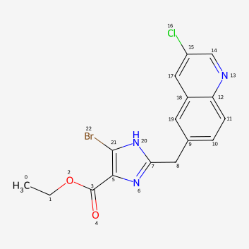 CCOC(=O)c1nc(Cc2ccc3ncc(Cl)cc3c2)[nH]c1Br